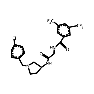 O=C(CNC(=O)c1cc(C(F)(F)F)cc(C(F)(F)F)c1)NC1CCN(Cc2ccc(Cl)cc2)C1